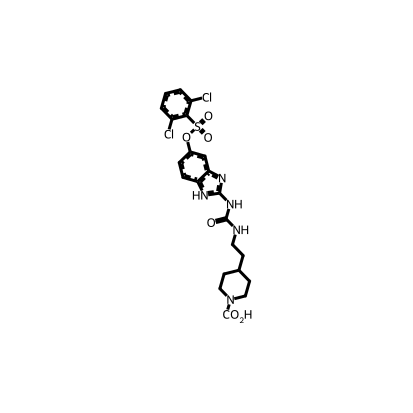 O=C(NCCC1CCN(C(=O)O)CC1)Nc1nc2cc(OS(=O)(=O)c3c(Cl)cccc3Cl)ccc2[nH]1